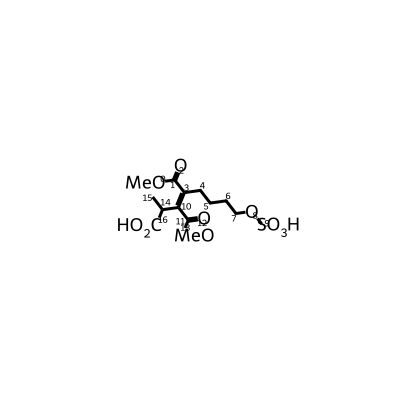 COC(=O)C(CCCCOS(=O)(=O)O)=C(C(=O)OC)C(C)C(=O)O